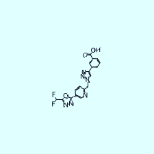 O=C(O)c1cccc(-c2cn(Cc3ccc(-c4nnc(C(F)F)o4)cn3)nn2)c1